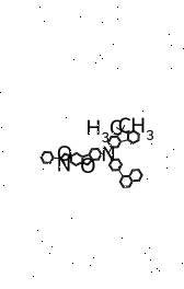 CC1(C)c2ccccc2-c2cc(N(c3ccc(-c4cccc5ccccc45)cc3)c3ccc4c(c3)oc3cc5nc(-c6ccccc6)oc5cc34)ccc21